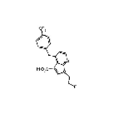 O=C(O)c1cn(CCF)c2nccc(Cc3ccc(C(F)(F)F)cc3)c12